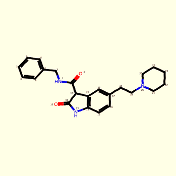 O=C(NCc1ccccc1)C1C(=O)Nc2ccc(CCN3CCCCC3)cc21